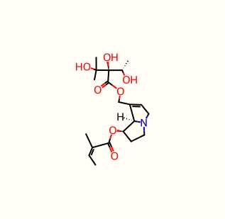 C/C=C(/C)C(=O)O[C@@H]1CCN2CC=C(COC(=O)[C@@](O)([C@H](C)O)C(C)(C)O)[C@H]12